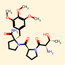 COc1cc(C[C@@]2(C(N)=O)CCCN2C(=O)[C@@H]2CCCN2C(=O)[C@@H](N)[C@@H](C)O)cc(OC)c1OC